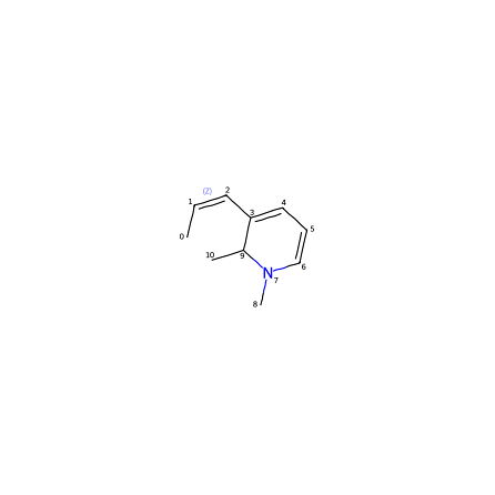 C/C=C\C1=CC=CN(C)C1C